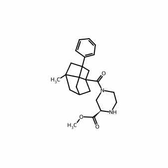 COC(=O)[C@H]1CN(C(=O)C23CC4CC5(C)CC(c6ccccc6)(C2)C53C4)CCN1